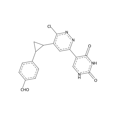 O=Cc1ccc(C2CC2c2cc(-c3c[nH]c(=O)[nH]c3=O)nnc2Cl)cc1